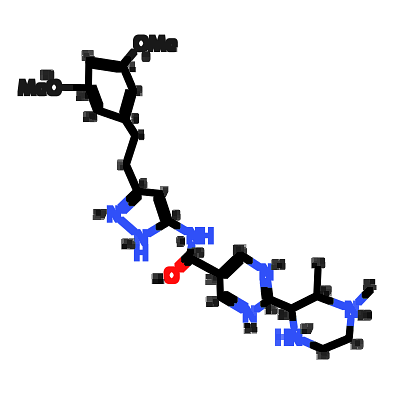 COc1cc(CCc2cc(NC(=O)c3cnc(C4NCCN(C)C4C)nc3)[nH]n2)cc(OC)c1